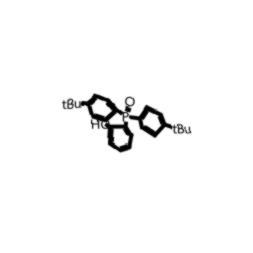 CC(C)(C)c1ccc(P(=O)(c2ccc(C(C)(C)C)cc2)c2ccccc2O)cc1